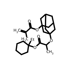 C=C(C)C(=O)OC12CC3CC(C1)CC(OC(C)C(=O)OC1(CC)CCCCC1)(C3)C2